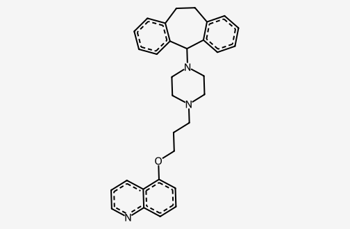 c1ccc2c(c1)CCc1ccccc1C2N1CCN(CCCOc2cccc3ncccc23)CC1